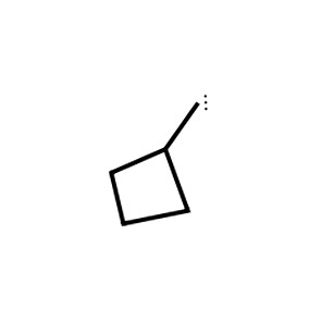 [C]C1CCC1